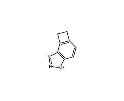 c1cc2[nH]nnc2c2c1CC2